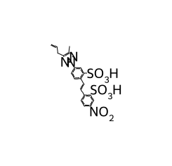 C=CCc1nn(-c2ccc(/C=C/c3ccc([N+](=O)[O-])cc3S(=O)(=O)O)c(S(=O)(=O)O)c2)nc1C